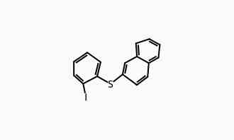 Ic1ccccc1Sc1ccc2ccccc2c1